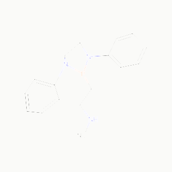 N#CNCCP1N(c2ccccc2)CCN1c1ccccc1